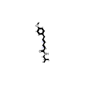 COc1ccc(C/C=C/C=C/C(=O)NCC(C)C)cc1